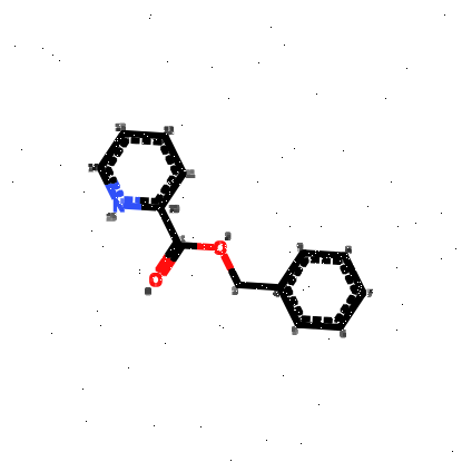 O=C(OCc1ccccc1)c1ccccn1